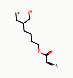 C=CC(=O)OCCCCC(CC)CO